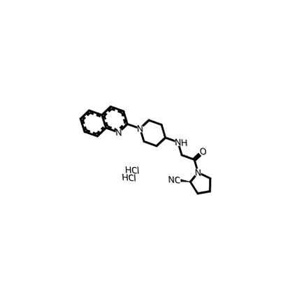 Cl.Cl.N#C[C@@H]1CCCN1C(=O)CNC1CCN(c2ccc3ccccc3n2)CC1